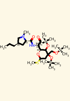 CCC[C@@H]1C[C@@H](C(=O)N[C@H](C=O)[C@H]2OC(SC)CC(CO[Si](C)(C)C)(O[Si](C)(C)C)C2O[Si](C)(C)C)N(C)C1